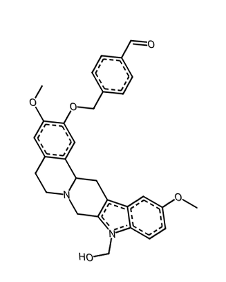 COc1ccc2c(c1)c1c(n2CO)CN2CCc3cc(OC)c(OCc4ccc(C=O)cc4)cc3C2C1